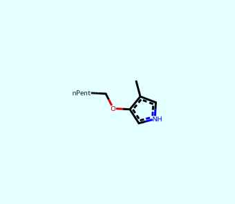 CCCCCCOc1c[nH]cc1C